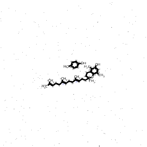 CC(C)=CCC/C(C)=C/CC/C(C)=C/CC[C@]1(C)CCc2c(C)c(O)cc(C)c2O1.Oc1ccc(O)cc1